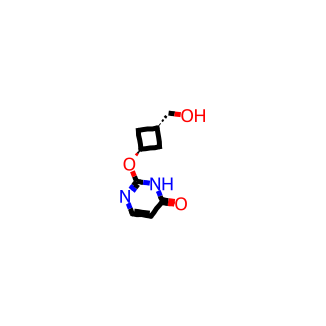 O=c1ccnc(O[C@H]2C[C@@H](CO)C2)[nH]1